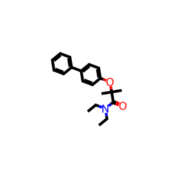 CCN(CC)C(=O)C(C)(C)Oc1ccc(-c2ccccc2)cc1